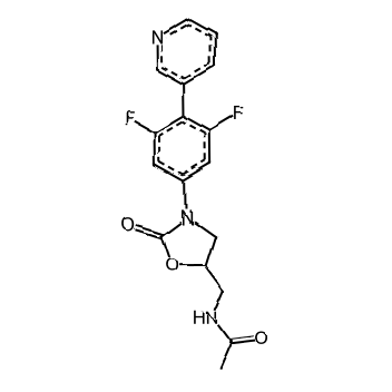 CC(=O)NCC1CN(c2cc(F)c(-c3cccnc3)c(F)c2)C(=O)O1